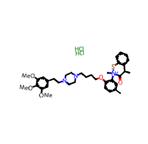 COc1cc(CCN2CCN(CCCCOc3ccc(C)cc3[N+]3(C)Sc4ccccc4C(C)C3=O)CC2)cc(OC)c1OC.Cl.Cl